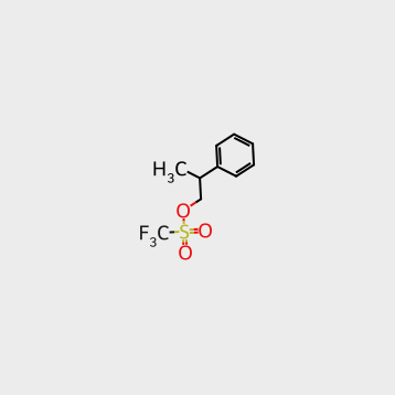 CC(COS(=O)(=O)C(F)(F)F)c1ccccc1